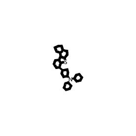 c1ccc(N(c2ccccc2)c2ccc(-c3cccc4c3sc3ccc5ccccc5c34)cc2)cc1